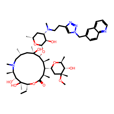 CC[C@H]1OC(=O)[C@H](C)C([C@H]2C[C@@](C)(OC)[C@@H](O)[C@H](C)O2)[C@H](C)[C@@H](O[C@@H]2O[C@H](C)C[C@H](N(C)CCc3cn(Cc4ccc5ncccc5c4)nn3)[C@H]2O)[C@](C)(O)C[C@@H](C)CN(C)[C@H](C)[C@@H](O)[C@]1(C)O